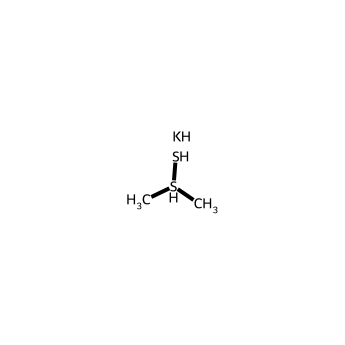 C[SH](C)S.[KH]